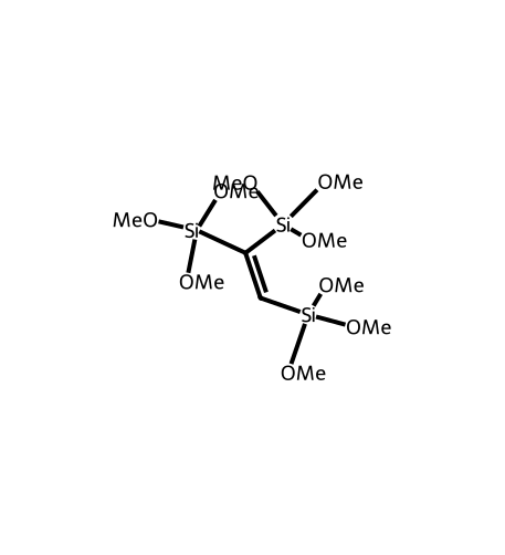 CO[Si](C=C([Si](OC)(OC)OC)[Si](OC)(OC)OC)(OC)OC